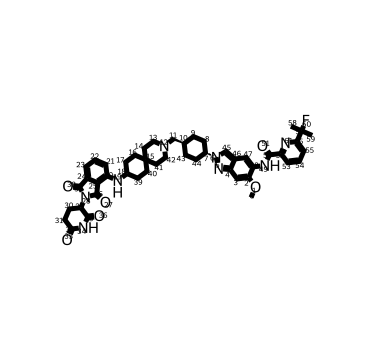 COc1cc2nn([C@H]3CC[C@H](CN4CCC5(CCC(Nc6cccc7c6C(=O)N(C6CCC(=O)NC6=O)C7=O)CC5)CC4)CC3)cc2cc1NC(=O)c1cccc(C(C)(C)F)n1